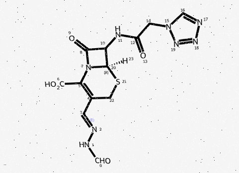 O=CN/N=C/C1=C(C(=O)O)N2C(=O)C(NC(=O)Cn3cnnn3)[C@H]2SC1